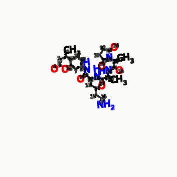 Cc1cc(=O)oc2cc(NC(=O)[C@H](CCCCN)NC(=O)[C@H](C)NC(=O)[C@H](C)N3C(=O)CCC3=O)ccc12